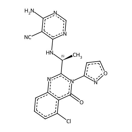 C[C@H](Nc1ncnc(N)c1C#N)c1nc2cccc(Cl)c2c(=O)n1-c1ccon1